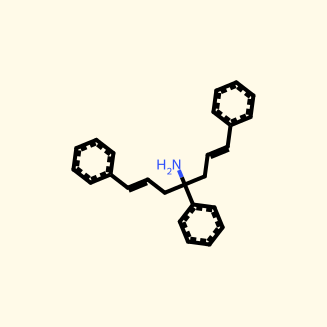 NC(CC=Cc1ccccc1)(CC=Cc1ccccc1)c1ccccc1